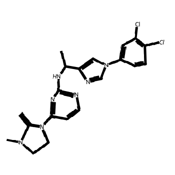 C=C1N(C)CCN1c1ccnc(NC(C)c2cn(-c3ccc(Cl)c(Cl)c3)cn2)n1